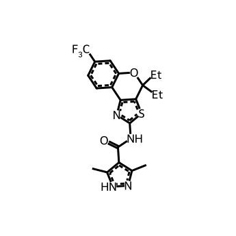 CCC1(CC)Oc2cc(C(F)(F)F)ccc2-c2nc(NC(=O)c3c(C)n[nH]c3C)sc21